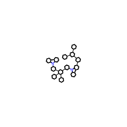 c1ccc(-c2cc(-c3ccccc3)cc(-c3cccc(-c4ccc5c6ccccc6n(-c6cccc(-c7cc(-c8ccccc8)c(-c8ccccc8)c(-c8cccc(-n9c%10ccccc%10c%10ccccc%109)c8)c7)c6)c5c4)c3)c2)cc1